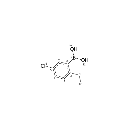 CCc1ccc(Cl)cc1B(O)O